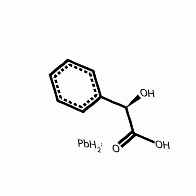 O=C(O)[C@H](O)c1ccccc1.[PbH2]